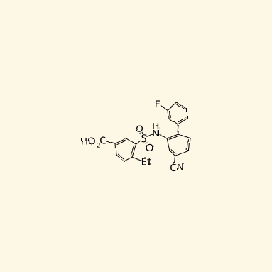 CCc1ccc(C(=O)O)cc1S(=O)(=O)Nc1cc(C#N)ccc1-c1cccc(F)c1